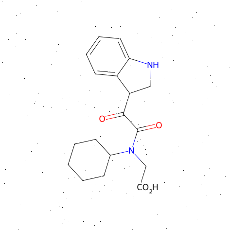 O=C(O)CN(C(=O)C(=O)C1CNc2ccccc21)C1CCCCC1